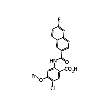 CC(C)Oc1cc(NC(=O)c2ccc3cc(F)ccc3c2)c(C(=O)O)cc1Cl